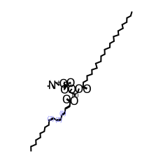 CCCCCCCCC\C=C/C=C\C=C\C=CC(=O)O[C@H](COC(=O)CCCCCCCCCCCCCCCCCCCCCCC)COP(=O)([O-])OCC[N+](C)(C)C